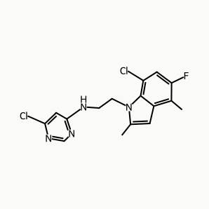 Cc1c(F)cc(Cl)c2c1cc(C)n2CCNc1cc(Cl)ncn1